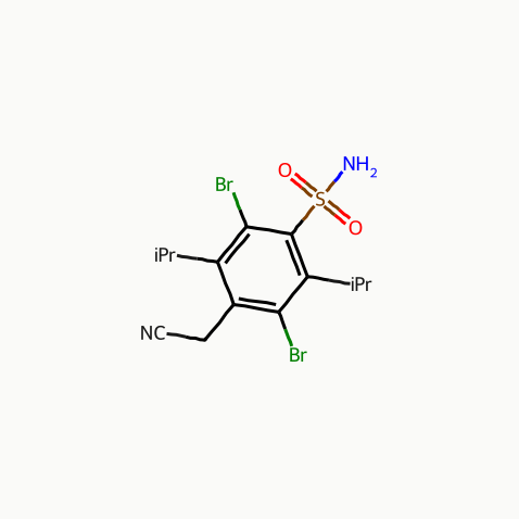 CC(C)c1c(Br)c(S(N)(=O)=O)c(C(C)C)c(Br)c1CC#N